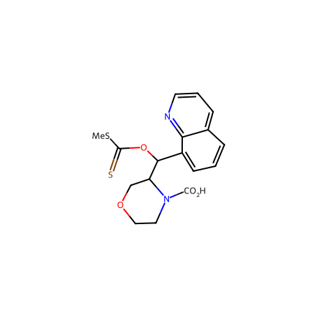 CSC(=S)OC(c1cccc2cccnc12)C1COCCN1C(=O)O